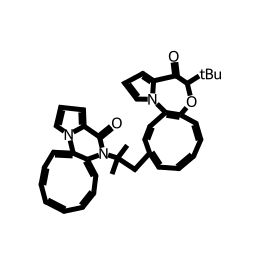 CC(C)(C)C1Oc2cccccc(CC(C)(C)n3c(=O)c4cccn4c4ccccccccc43)ccc2-n2cccc2C1=O